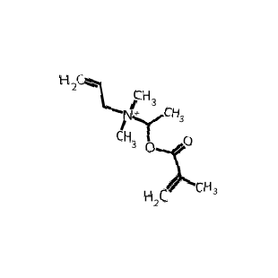 C=CC[N+](C)(C)C(C)OC(=O)C(=C)C